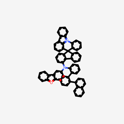 c1ccc(-c2cccc3ccccc23)c(-c2ccccc2N(c2ccc3oc4ccccc4c3c2)c2cccc3c2-c2ccccc2C32c3ccccc3-n3c4ccccc4c4cccc2c43)c1